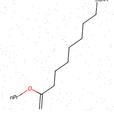 C=C(CCCCCCCCCCCCCCC)OCCC